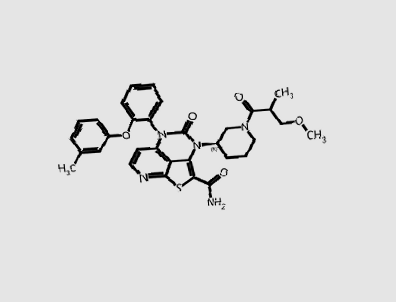 COCC(C)C(=O)N1CCC[C@@H](N2C(=O)N(c3ccccc3Oc3cccc(C)c3)c3ccnc4sc(C(N)=O)c2c34)C1